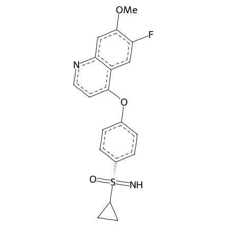 COc1cc2nccc(Oc3ccc([S@@](=N)(=O)C4CC4)cc3)c2cc1F